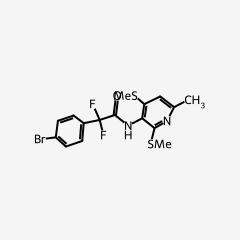 CSc1cc(C)nc(SC)c1NC(=O)C(F)(F)c1ccc(Br)cc1